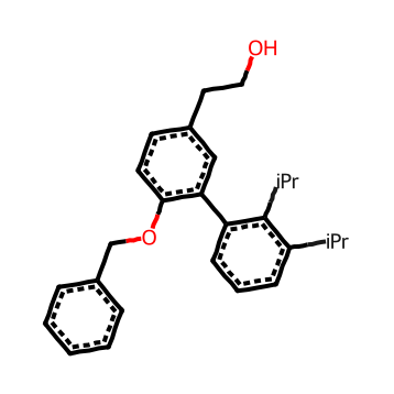 CC(C)c1cccc(-c2cc(CCO)ccc2OCc2ccccc2)c1C(C)C